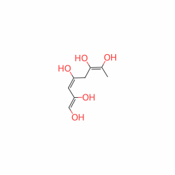 C/C(O)=C(/O)C/C(O)=C\C(O)=C\O